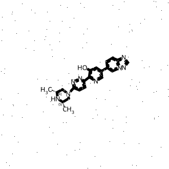 C[C@@H]1CN(c2ccc(-c3ncc(-c4ccc5ncnn5c4)cc3O)nn2)C[C@H](C)N1